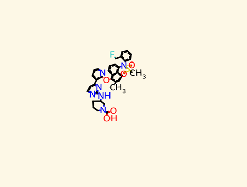 Cc1ccc2c(N(c3ccccc3CF)S(C)(=O)=O)cccc2c1Oc1ncccc1-c1ccnc(NC2CCCN(C(=O)O)C2)n1